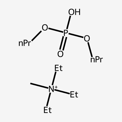 CCCOP(=O)(O)OCCC.CC[N+](C)(CC)CC